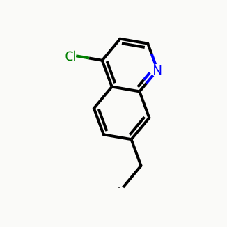 [CH2]Cc1ccc2c(Cl)ccnc2c1